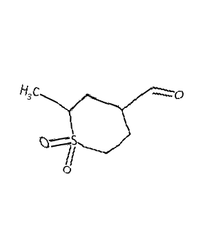 CC1CC(C=O)CCS1(=O)=O